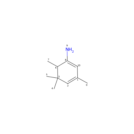 CC1=CC(C)(C)C(C)C(N)=C1